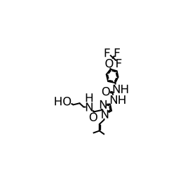 CC(C)=CCn1cc(NC(=O)Nc2ccc(OC(F)(F)F)cc2)nc1C(=O)NCCCO